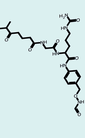 CC(C)C(=O)CCCC(=O)NCC(=O)NC(CCCNC(N)=O)C(=O)Nc1ccc(CONC=O)cc1